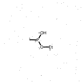 CCOP(C)O